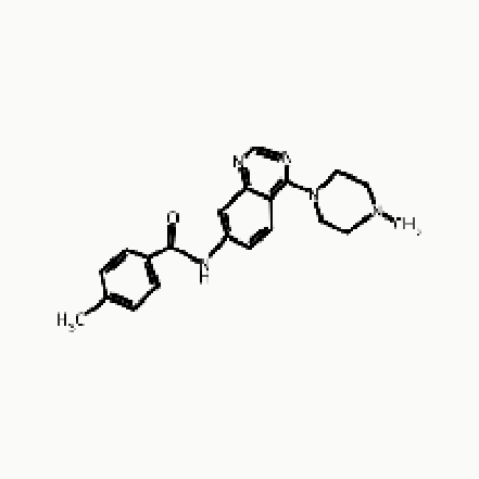 Cc1ccc(C(=O)Nc2ccc3c(N4CCN(C)CC4)ncnc3c2)cc1